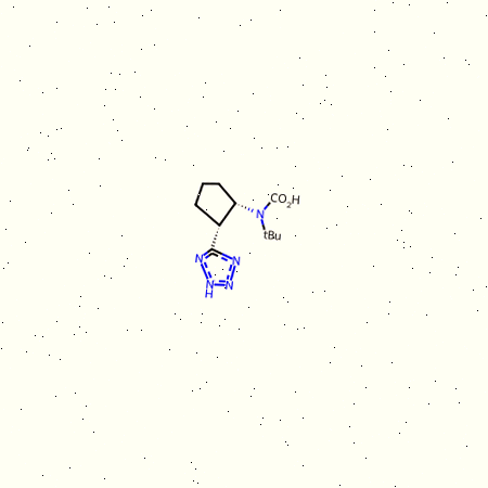 CC(C)(C)N(C(=O)O)[C@H]1CCC[C@H]1c1nn[nH]n1